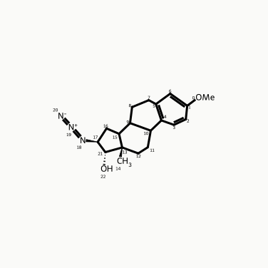 COc1ccc2c(c1)CCC1C2CC[C@@]2(C)C1C[C@H](N=[N+]=[N-])[C@H]2O